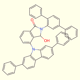 O=C1c2cccc(-n3c4cc(-c5ccccc5)ccc4c4ccc(-c5ccccc5)cc43)c2C(O)N1c1cc(-c2ccccc2)ccc1-c1ccccc1